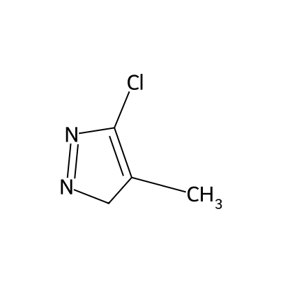 CC1=C(Cl)N=NC1